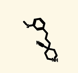 CSc1cccc(CCCC2(C#N)CCNCC2)c1